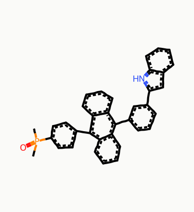 CP(C)(=O)c1ccc(-c2c3ccccc3c(-c3cccc(-c4cc5ccccc5[nH]4)c3)c3ccccc23)cc1